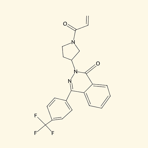 C=CC(=O)N1CCC(n2nc(-c3ccc(C(F)(F)F)cc3)c3ccccc3c2=O)C1